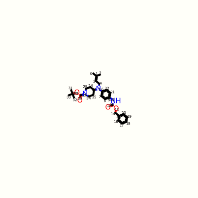 CC(C)=CCN(c1ccc(NC(=O)OCc2ccccc2)cc1)C1CCN(C(=O)OC(C)(C)C)CC1